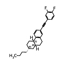 CCCC[C@@H]1CC[C@@H]2c3ccc(C#Cc4ccc(F)c(F)c4)cc3CC[C@@H]2C1